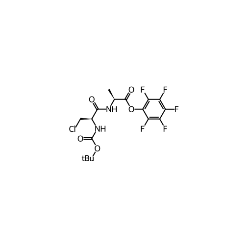 C[C@H](NC(=O)[C@H](CCl)NC(=O)OC(C)(C)C)C(=O)Oc1c(F)c(F)c(F)c(F)c1F